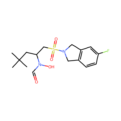 CC(C)(C)CC(CS(=O)(=O)N1Cc2ccc(F)cc2C1)N(O)C=O